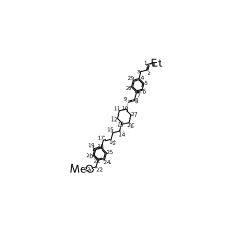 CCC=CCc1ccc(CC[C@H]2CC[C@H](CCCCc3ccc(COC)cc3)CC2)cc1